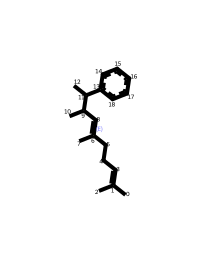 CC(C)=CCC/C(C)=C/C(C)C(C)c1ccccc1